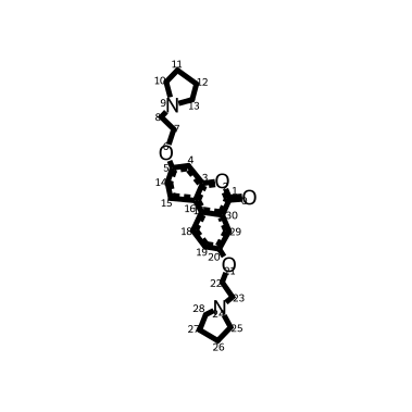 O=c1oc2cc(OCCN3CCCC3)ccc2c2ccc(OCCN3CCCC3)cc12